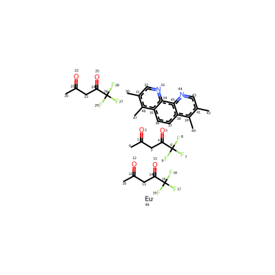 CC(=O)CC(=O)C(F)(F)F.CC(=O)CC(=O)C(F)(F)F.CC(=O)CC(=O)C(F)(F)F.Cc1cnc2c(ccc3c(C)c(C)cnc32)c1C.[Eu]